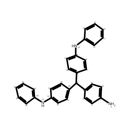 Nc1ccc(C(c2ccc(Nc3ccccc3)cc2)c2ccc(Nc3ccccc3)cc2)cc1